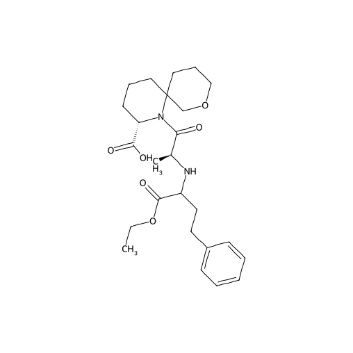 CCOC(=O)C(CCc1ccccc1)N[C@@H](C)C(=O)N1[C@H](C(=O)O)CCCC12CCCOC2